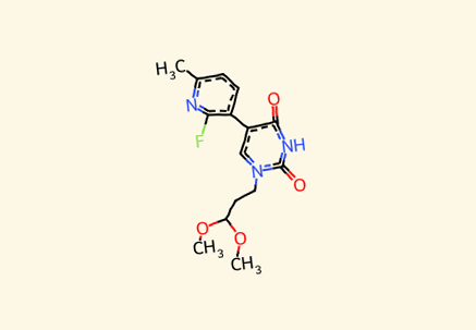 COC(CCn1cc(-c2ccc(C)nc2F)c(=O)[nH]c1=O)OC